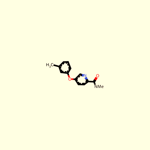 CNC(=O)c1ccc(Oc2cccc(C)c2)cn1